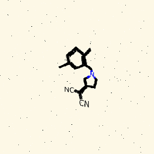 Cc1ccc(C)c(CN2CCC(=C(C#N)C#N)C2)c1